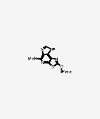 CCCCCOc1nc2c(nc(NC)c3ncn(C)c32)s1